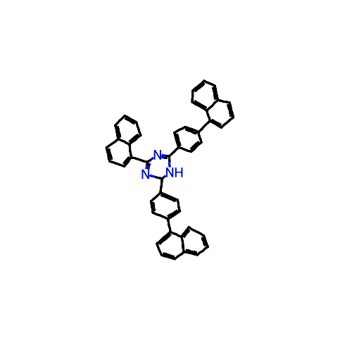 c1ccc2c(C3=NC(c4ccc(-c5cccc6ccccc56)cc4)NC(c4ccc(-c5cccc6ccccc56)cc4)=N3)cccc2c1